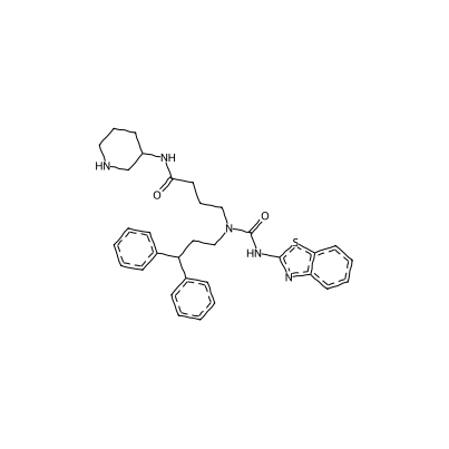 O=C(CCCN(CCC(c1ccccc1)c1ccccc1)C(=O)Nc1nc2ccccc2s1)NC1CCCNC1